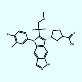 COCC(C)(C)c1c([C@@H]2CC[C@@H](C(=O)O)C2)c2cc3[nH]ncc3cc2n1-c1ccc(F)c(C)c1